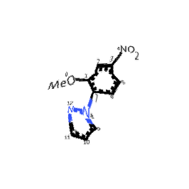 COc1cc([N+](=O)[O-])ccc1-n1cccn1